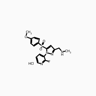 CNCc1cc(S(=O)(=O)c2ccc(OC)cc2)n(-c2cccnc2F)n1.Cl